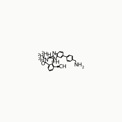 [2H]C([2H])([2H])N1C(=O)c2cccc(C#C)c2[C@H]2C[C@@H]1c1nc3ccc(-c4ccc(CN)cc4)cc3n12